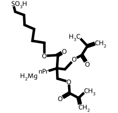 C=C(C)C(=O)OCC(CCC)(COC(=O)C(=C)C)C(=O)OCCCCCCS(=O)(=O)O.[MgH2]